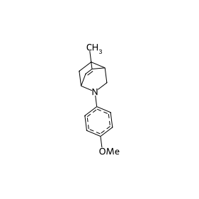 COc1ccc(N2CC3CCC2C=C3C)cc1